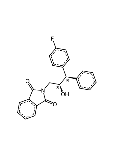 O=C1c2ccccc2C(=O)N1C[C@H](O)[C@H](c1ccccc1)c1ccc(F)cc1